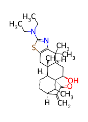 C=C1C(=O)[C@]23C(C)[C@@H]1CC[C@H]2[C@]1(C)Cc2sc(N(CC)CC)nc2C(C)(C)[C@H]1C[C@H]3O